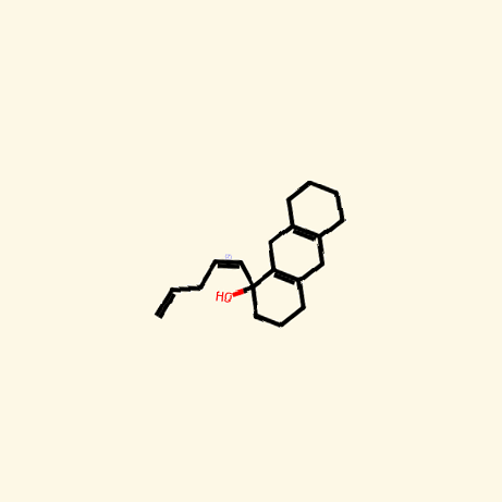 C=CC/C=C\C1(O)CCCC2=C1CC1=C(CCCC1)C2